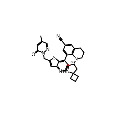 Cc1cnn(Cc2cc3nccc(-c4cc(C#N)cc5c4N([C@@H]4CNC6(CCC6)C4)CCC5)c3s2)c(=O)c1